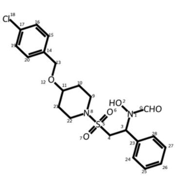 O=CN(O)C(CS(=O)(=O)N1CCC(OCc2ccc(Cl)cc2)CC1)c1ccccc1